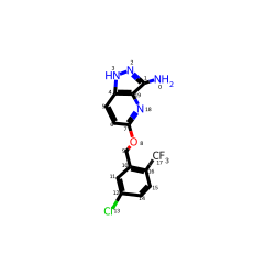 Nc1n[nH]c2ccc(OCc3cc(Cl)ccc3C(F)(F)F)nc12